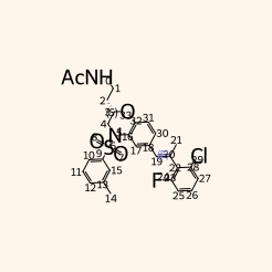 CC(=O)NCC[C@H]1CN(S(=O)(=O)c2cccc(C)c2)c2cc(/C=C(\C)c3c(F)cccc3Cl)ccc2O1